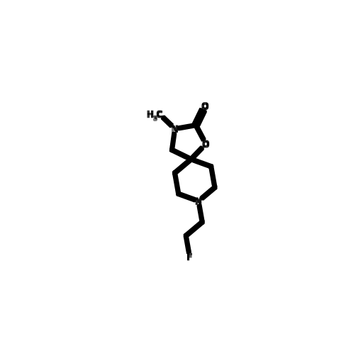 CN1CC2(CCN(CCF)CC2)OC1=O